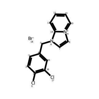 Clc1ccc(Cn2cc[n+]3ccccc23)cc1Cl.[Br-]